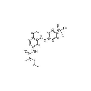 CCCN(C)C(=O)Nc1ccc(CC)c(OCc2ccc(C(F)(F)F)nc2)c1